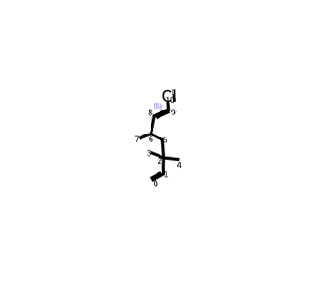 C=CC(C)(C)CC(C)/C=C/Cl